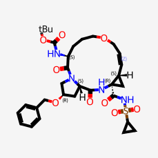 CC(C)(C)OC(=O)N[C@H]1CCCOC/C=C\[C@@H]2C[C@@]2(C(=O)NS(=O)(=O)C2CC2)NC(=O)[C@@H]2C[C@@H](OCc3ccccc3)CN2C1=O